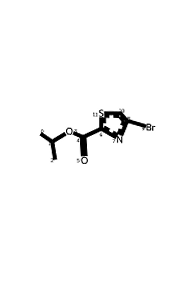 CC(C)OC(=O)c1nc(Br)cs1